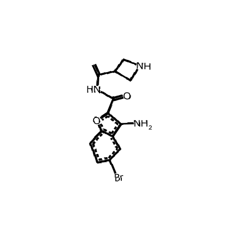 C=C(NC(=O)c1oc2ccc(Br)cc2c1N)C1CNC1